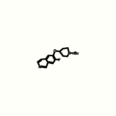 CCCCN1CCC(Oc2cc3ccncc3cc2F)CC1